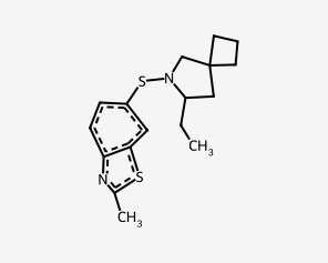 CCC1CC2(CCC2)CN1Sc1ccc2nc(C)sc2c1